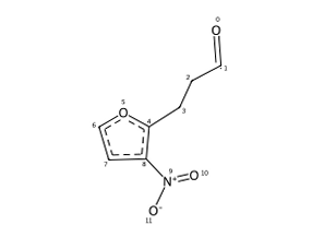 O=[C]CCc1occc1[N+](=O)[O-]